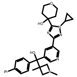 CC(C)c1ccc(C(O)(c2cncc(-c3nc(C4(O)CCOCC4)n(C4CC4)n3)c2)C2(C)CN(C)C2)cc1